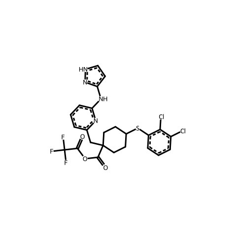 O=C(OC(=O)C1(Cc2cccc(Nc3cc[nH]n3)n2)CCC(Sc2cccc(Cl)c2Cl)CC1)C(F)(F)F